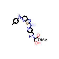 COC(=O)C(CO)NCc1ccnc(Nc2nc3ccc(N(C)c4ccc(C)cc4)nc3s2)c1